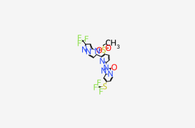 CCS(=O)(=O)c1ccc(-n2nc3cc(SC(F)(F)F)ccn3c2=O)nc1-c1ccn2nc(C(F)(F)F)cc2n1